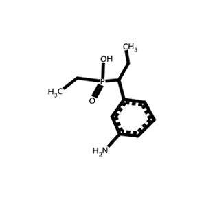 CCC(c1cccc(N)c1)P(=O)(O)CC